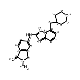 CN1Cc2cc(Nc3nc4cccc(CC5CCOCC5)n4n3)ccc2C1=O